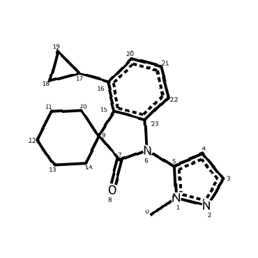 Cn1nccc1N1C(=O)C2(CCCCC2)c2c(C3CC3)cccc21